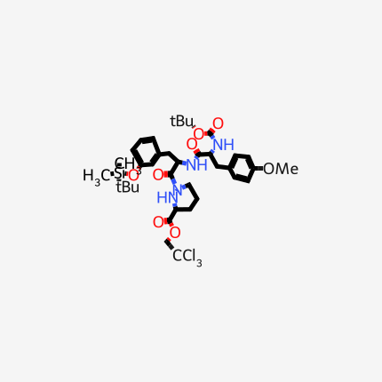 COc1ccc(CC(NC(=O)OC(C)(C)C)C(=O)NC(Cc2cccc(O[Si](C)(C)C(C)(C)C)c2)C(=O)N2CCCC(C(=O)OCC(Cl)(Cl)Cl)N2)cc1